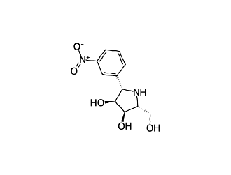 O=[N+]([O-])c1cccc([C@@H]2N[C@H](CO)[C@@H](O)[C@H]2O)c1